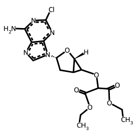 CCOC(=O)C(OC1C2C[C@H](n3cnc4c(N)nc(Cl)nc43)O[C@@H]21)C(=O)OCC